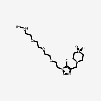 CC(C)NCCOCCOCCOCCn1nnc(CN2CCS(=O)(=O)CC2)c1Cl